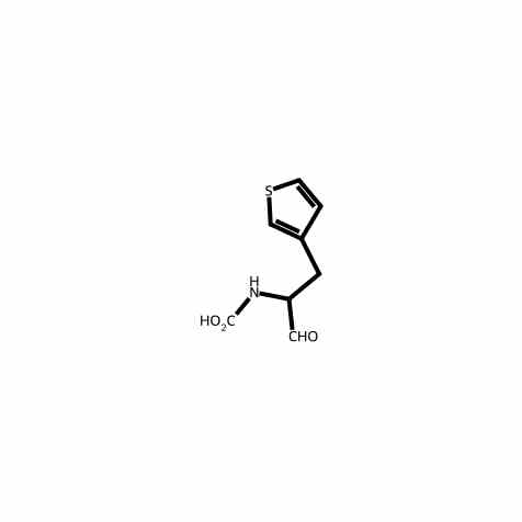 O=CC(Cc1ccsc1)NC(=O)O